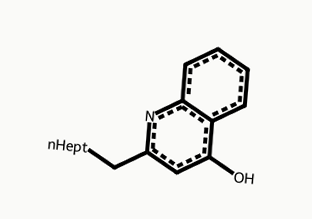 CCCCCCCCc1cc(O)c2ccccc2n1